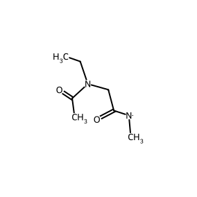 CCN(CC(=O)[N]C)C(C)=O